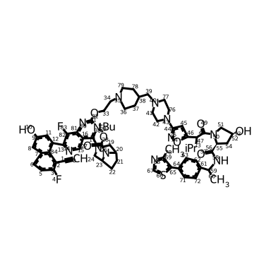 C#Cc1c(F)ccc2cc(O)cc(-c3ncc4c(N5CC6CCC(C5)N6C(=O)OC(C)(C)C)nc(OCCN5CCC(CN6CCN(c7cc(C(C(=O)N8C[C@H](O)C[C@H]8C(=O)NC(C)c8ccc(-c9scnc9C)cc8)C(C)C)on7)CC6)CC5)nc4c3F)c12